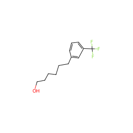 OCCCCCCc1cccc(C(F)(F)F)c1